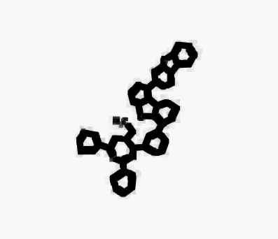 CCC1CC(c2ccccc2)=NC(c2ccccc2)=NC1c1cccc(-c2cccc3c2oc2cccc(-c4ccc5c(c4)oc4ccccc45)c23)c1